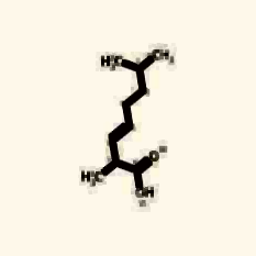 CC(C)CCC=CC(C)C(=O)O